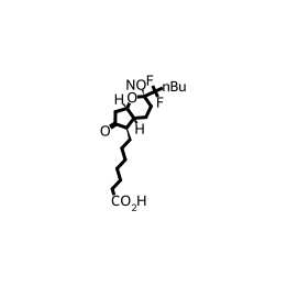 CCCCC(F)(F)[C@@]1(N=O)CC[C@H]2[C@@H](CC(=O)[C@@H]2CCCCCCC(=O)O)O1